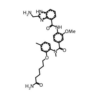 COc1cc(C(=O)N(C)c2ccc(C)cc2OCCCCCC(N)=O)ccc1NC(=O)c1cccc2[nH]c(CN)nc12